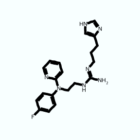 NC(=NCCCc1c[nH]cn1)NCCN(c1ccc(F)cc1)c1ccccn1